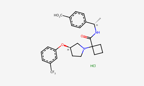 C[C@H](NC(=O)C1(N2CC[C@@H](Oc3cccc(C(F)(F)F)c3)C2)CCC1)c1ccc(C(=O)O)cc1.Cl